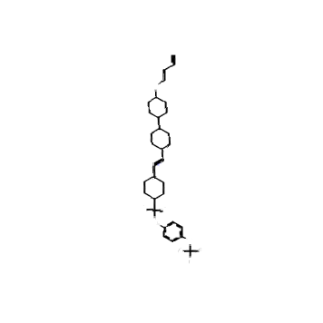 C=CCCOC1CCC(C2CCC(/C=C/C3CCC(C(F)(F)Oc4ccc(OC(F)(F)F)cc4)CC3)CC2)CC1